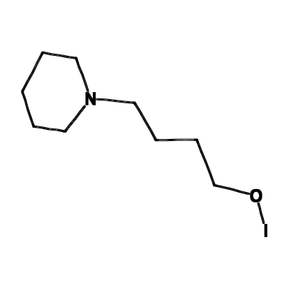 IOCCCCN1CCCCC1